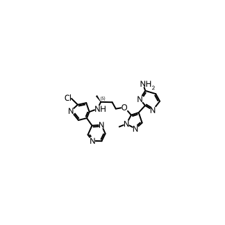 C[C@@H](CCOc1c(-c2nccc(N)n2)cnn1C)Nc1cc(Cl)ncc1-c1cnccn1